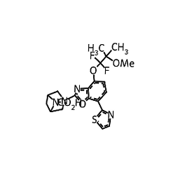 COC(C)(C)C(F)(F)Oc1ccc(-c2nccs2)c2oc(N3CC4CC(C3)N4C(=O)O)nc12